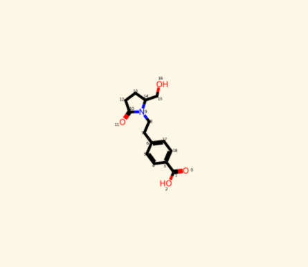 O=C(O)c1ccc(CCN2C(=O)CCC2CO)cc1